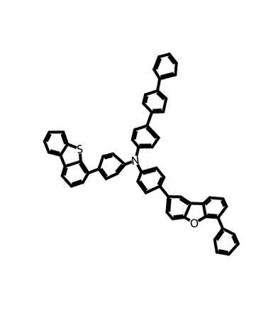 c1ccc(-c2ccc(-c3ccc(N(c4ccc(-c5ccc6oc7c(-c8ccccc8)cccc7c6c5)cc4)c4ccc(-c5cccc6c5sc5ccccc56)cc4)cc3)cc2)cc1